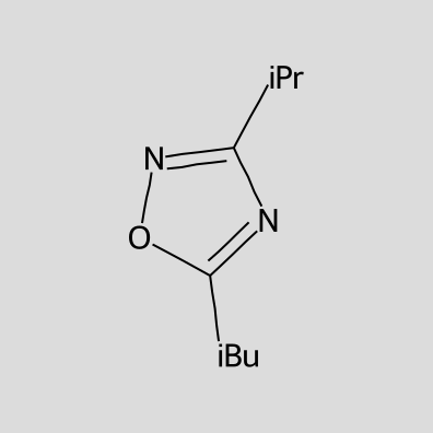 CCC(C)c1nc(C(C)C)no1